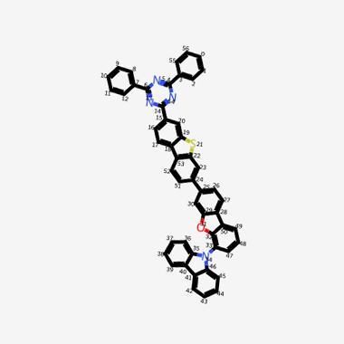 c1ccc(-c2nc(-c3ccccc3)nc(-c3ccc4c(c3)sc3cc(-c5ccc6c(c5)oc5c(-n7c8ccccc8c8ccccc87)cccc56)ccc34)n2)cc1